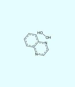 OO.c1ccc2nccnc2c1